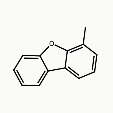 Cc1[c]ccc2c1oc1ccccc12